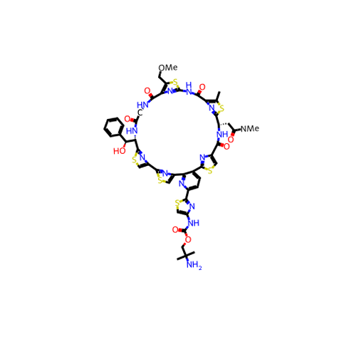 CNC(=O)C[C@@H]1NC(=O)c2csc(n2)-c2ccc(-c3nc(NC(=O)OCC(C)(C)N)cs3)nc2-c2csc(n2)-c2csc(n2)[C@H]([C@@H](O)c2ccccc2)NC(=O)CNC(=O)c2nc(sc2COC)NC(=O)c2nc1sc2C